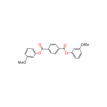 COc1cccc(OC(=O)c2ccc(C(=O)Oc3cccc(OC)c3)cc2)c1